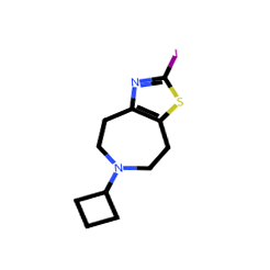 Ic1nc2c(s1)CCN(C1CCC1)CC2